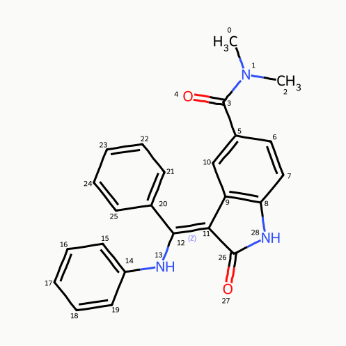 CN(C)C(=O)c1ccc2c(c1)/C(=C(/Nc1ccccc1)c1ccccc1)C(=O)N2